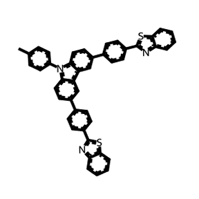 Cc1ccc(-n2c3ccc(-c4ccc(-c5nc6ccccc6s5)cc4)cc3c3cc(-c4ccc(-c5nc6ccccc6s5)cc4)ccc32)cc1